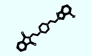 O=C1c2ccccc2C(=O)N1CCN1CCN(CCn2cc3c(Br)cccc3n2)CC1